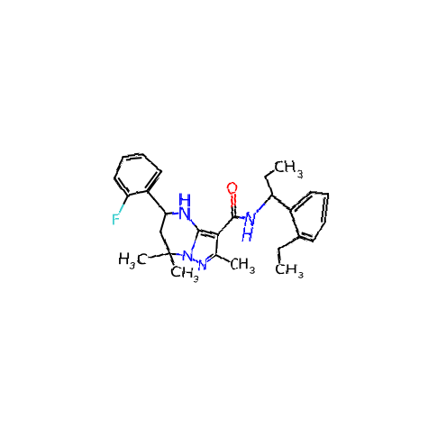 CCc1ccccc1C(CC)NC(=O)c1c(C)nn2c1NC(c1ccccc1F)CC2(C)C